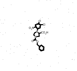 O=C(O)C1CN(C(=O)OCc2ccccc2)CCN1c1cc(Cl)c(Cl)cc1[N+](=O)[O-]